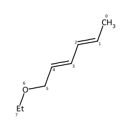 CC=CC=CCOCC